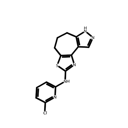 Clc1cccc(Nc2nc3c(s2)CCCc2[nH]ncc2-3)n1